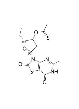 CC[C@H]1O[C@@H](n2c(=O)sc3c(=O)[nH]c(C)nc32)CC1OC(C)=S